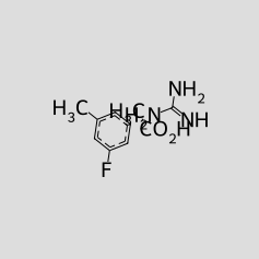 CC(=O)O.Cc1cccc(F)c1.N=C(N)N